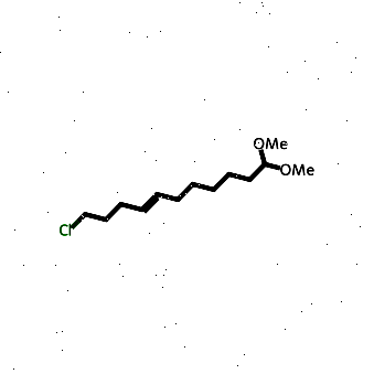 COC(CCCCCC=CCCCCl)OC